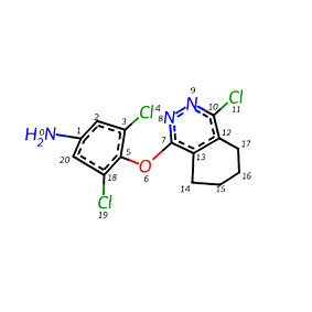 Nc1cc(Cl)c(Oc2nnc(Cl)c3c2CCCC3)c(Cl)c1